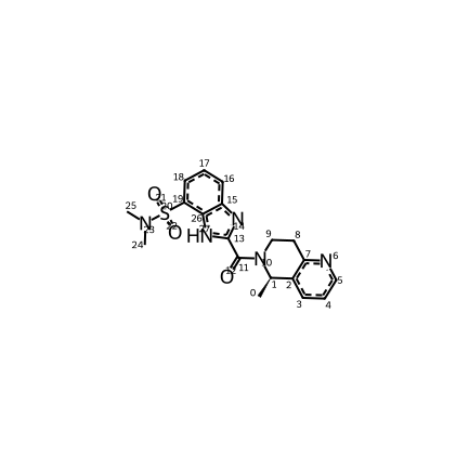 C[C@@H]1c2cccnc2CCN1C(=O)c1nc2cccc(S(=O)(=O)N(C)C)c2[nH]1